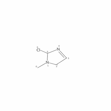 CN1[C]C=NC1Cl